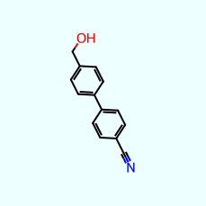 N#Cc1ccc(-c2ccc(CO)cc2)cc1